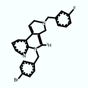 [2H]C1=C2CN(Cc3cccc(F)c3)CC=C2c2cccnc2N1Cc1ccc(Br)cc1